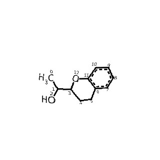 CC(O)C1CCc2ccccc2O1